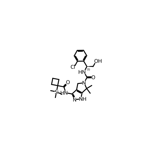 CC1(C)c2[nH]nc(NC(=O)C3([Si](C)(C)C)CCC3)c2CN1C(=O)N[C@H](CO)c1ccccc1Cl